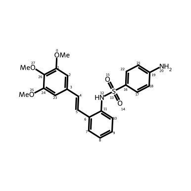 COc1cc(C=Cc2ccccc2NS(=O)(=O)c2ccc(N)cc2)cc(OC)c1OC